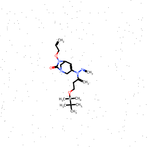 C=CCON1C(=O)N2CC(N(N=C)C(=C)CCO[Si](C)(C)C(C)(C)C)=CC1C2